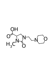 CN1C(=O)N(CCN2CCOCC2)CC1C(=O)O